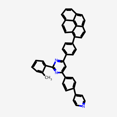 Cc1ccccc1-c1nc(-c2ccc(-c3ccncc3)cc2)cc(-c2ccc(-c3ccc4ccc5cccc6ccc3c4c56)cc2)n1